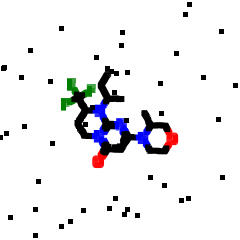 CCC(C)N1c2nc(N3CCOCC3C)cc(=O)n2CCC1C(F)(F)F